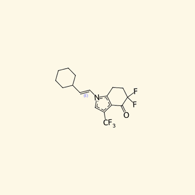 O=C1c2c(C(F)(F)F)cn(/C=C/C3CCCCC3)c2CCC1(F)F